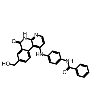 O=C(Nc1ccc(Nc2ccnc3[nH]c(=O)c4cc(CO)ccc4c23)cc1)c1ccccc1